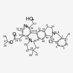 Cc1cccc(Cl)c1CN1CCc2cc(-c3c(CO)nc(C)c(CC(=O)OC(C)C)c3N3CCC(C)(C)CC3)ccc2C1